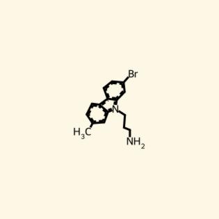 Cc1ccc2c3ccc(Br)cc3n(CCCN)c2c1